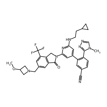 COC1CN(Cc2cc3c(c(C(F)(F)F)c2)CN(c2cc(-c4cc(C#N)ccc4-c4nncn4C)cc(NCCC4CC4)n2)C3=O)C1